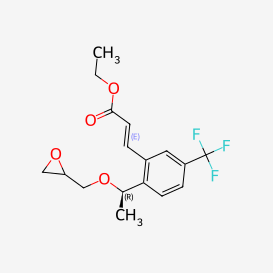 CCOC(=O)/C=C/c1cc(C(F)(F)F)ccc1[C@@H](C)OCC1CO1